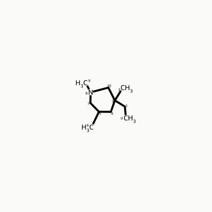 CCC1(C)CC(C)CN(C)C1